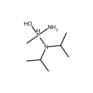 CC(C)N(C(C)C)[PH](C)(N)O